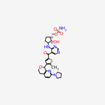 Cc1sc(C(=O)c2cncnc2NC2CC[C@H](COS(N)(=O)=O)[C@H]2O)cc1C1OCCc2ccc(N3CCCC3)nc21